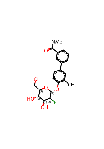 CNC(=O)c1cccc(-c2ccc(O[C@H]3O[C@H](CO)[C@@H](O)[C@H](O)[C@@H]3F)c(C)c2)c1